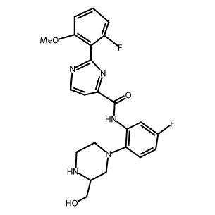 COc1cccc(F)c1-c1nccc(C(=O)Nc2cc(F)ccc2N2CCNC(CO)C2)n1